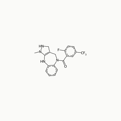 CN1NCC2=C1Nc1ccccc1N(C(=O)c1cc(C(F)(F)F)ccc1F)C2